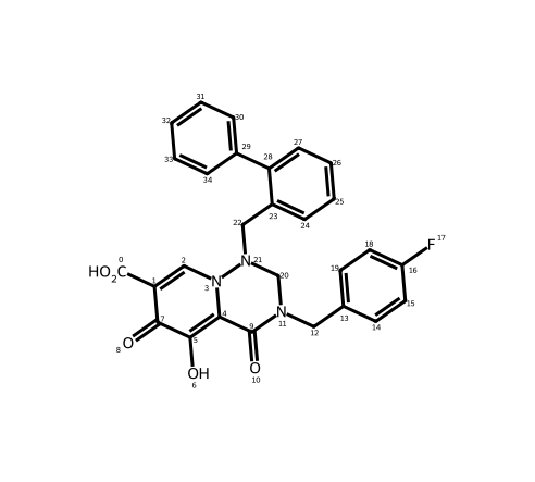 O=C(O)c1cn2c(c(O)c1=O)C(=O)N(Cc1ccc(F)cc1)CN2Cc1ccccc1-c1ccccc1